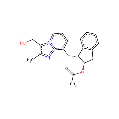 CC(=O)O[C@@H]1Cc2ccccc2[C@H]1Oc1cccn2c(CO)c(C)nc12